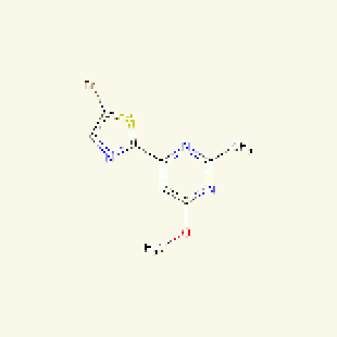 COc1cc(-c2ncc(Br)s2)nc(C)n1